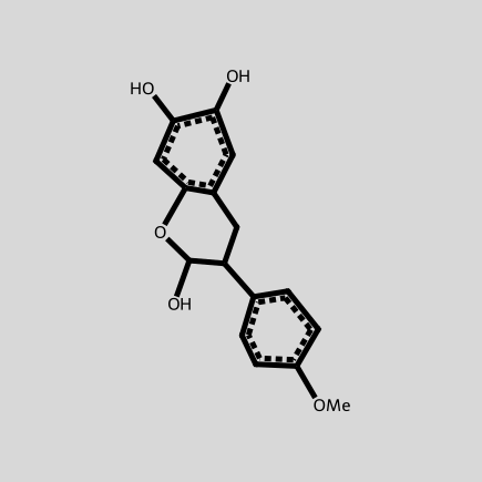 COc1ccc(C2Cc3cc(O)c(O)cc3OC2O)cc1